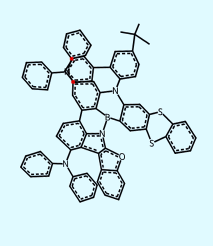 CC(C)(C)c1ccc(N2c3cc4c(cc3B3c5c(cc(N(c6ccccc6)c6ccccc6)cc52)-c2ccc(N(c5ccccc5)c5ccccc5)c5c6c7ccccc7oc6n3c25)Sc2ccccc2S4)c(-c2ccccc2)c1